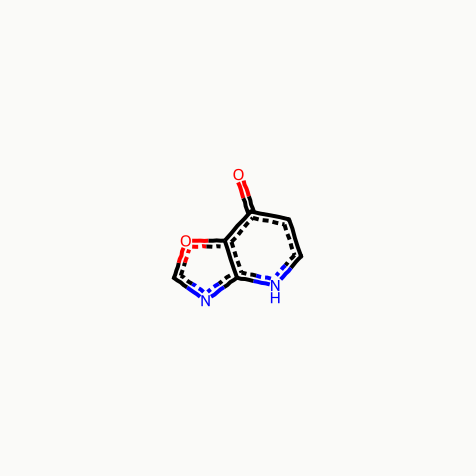 O=c1cc[nH]c2ncoc12